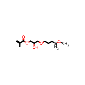 C=C(C)C(=O)OCC(O)COCCC[SiH2]O[SiH3]